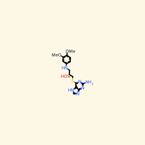 COc1ccc(NC[C@@H](O)CSc2nc(N)nc3nc[nH]c23)cc1OC